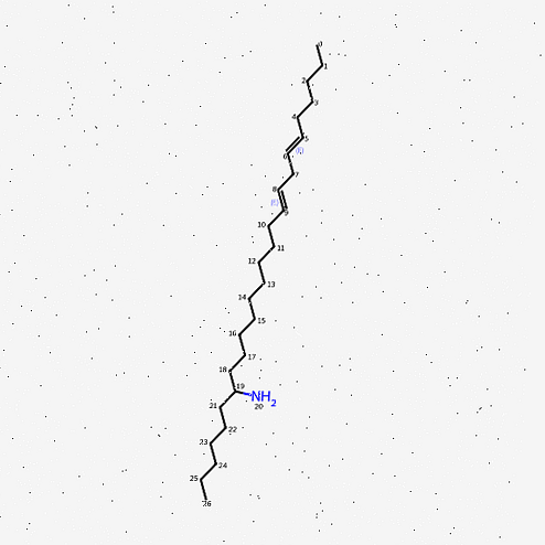 CCCCC/C=C/C/C=C/CCCCCCCCCC(N)CCCCCC